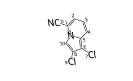 N#Cc1cccc2c(Cl)c(Cl)cn12